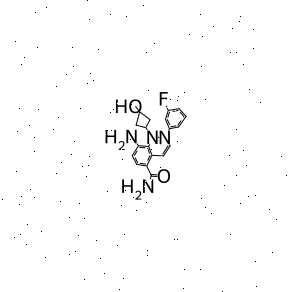 NC(=O)c1ccc(N)c2c1C=CN(c1cccc(F)c1)N2C1CC(O)C1